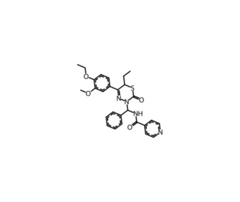 CCOc1ccc(C2=NN(C(NC(=O)c3ccncc3)c3ccccc3)C(=O)SC2CC)cc1OC